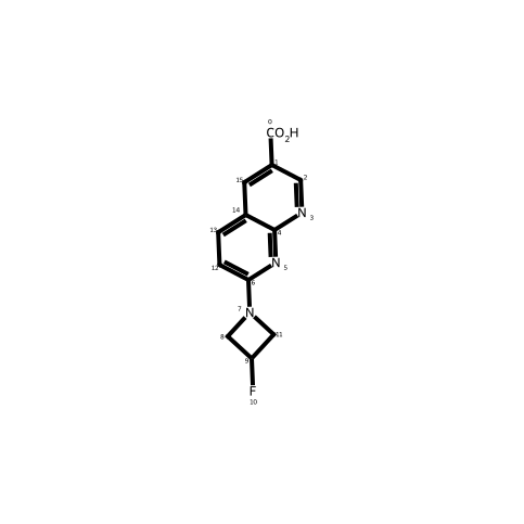 O=C(O)c1cnc2nc(N3CC(F)C3)ccc2c1